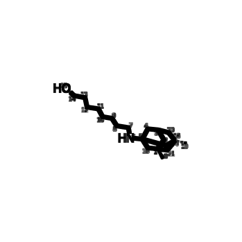 C[C@]12CC3CC(NCCCCCCCCO)(C1)C[C@@](C)(C3)C2